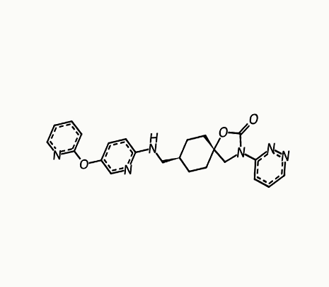 O=C1O[C@]2(CC[C@H](CNc3ccc(Oc4ccccn4)cn3)CC2)CN1c1cccnn1